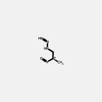 C[C@H](CNN=N)N=O